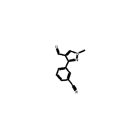 Cn1cc(C=O)c(-c2cccc(C#N)c2)n1